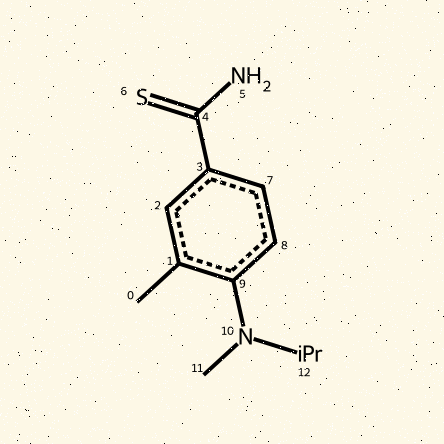 Cc1cc(C(N)=S)ccc1N(C)C(C)C